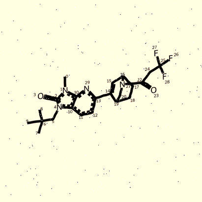 Cn1c(=O)n(CC(C)(C)C)c2ccc(C3=CC4CCC3CN4C(=O)CC(F)(F)F)nc21